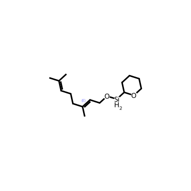 CC(C)=CCC/C(C)=C/CO[SiH2]C1CCCCO1